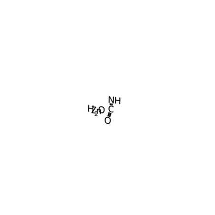 N=C=O.O.[Zn]